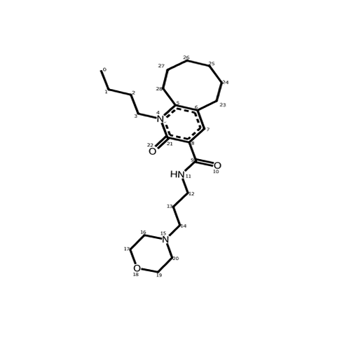 CCCCn1c2c(cc(C(=O)NCCCN3CCOCC3)c1=O)CCCCCC2